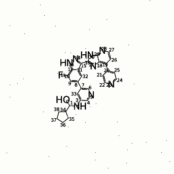 OC(Nc1cncc(-c2cc(F)c3[nH]nc(-c4nc5c(-c6ccncc6)ccnc5[nH]4)c3c2)c1)C1CCCC1